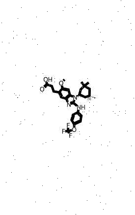 COc1cc2c(cc1CCC(=O)O)nc(Nc1ccc(OC(F)(F)F)cc1)n2[C@@H]1C[C@@H](C)CC(C)(C)C1